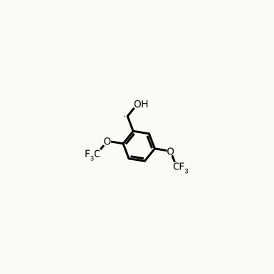 O[CH]c1cc(OC(F)(F)F)ccc1OC(F)(F)F